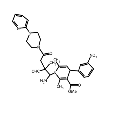 COC(=O)C1=C(C)N(C(N)C(C)(C=O)CC(=O)N2CCN(c3ccccn3)CC2)C(C)=CC1c1cccc([N+](=O)[O-])c1